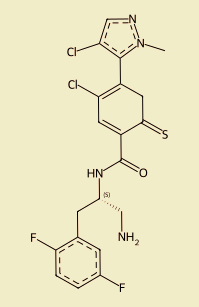 Cn1ncc(Cl)c1C1=C(Cl)C=C(C(=O)N[C@H](CN)Cc2cc(F)ccc2F)C(=S)C1